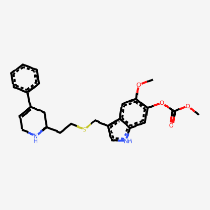 COC(=O)Oc1cc2[nH]cc(CSCCC3CC(c4ccccc4)=CCN3)c2cc1OC